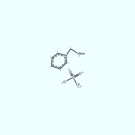 CCCCCCCCCC[n+]1ccccc1.O=S(=O)([O-])C(F)(F)F